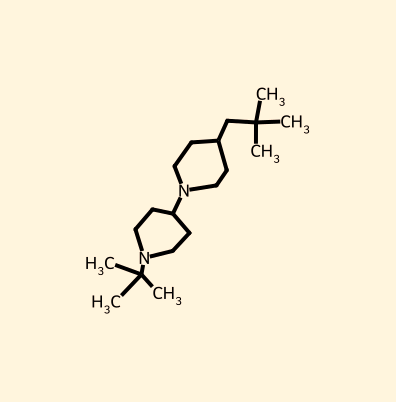 CC(C)(C)CC1CCN(C2CCN(C(C)(C)C)CC2)CC1